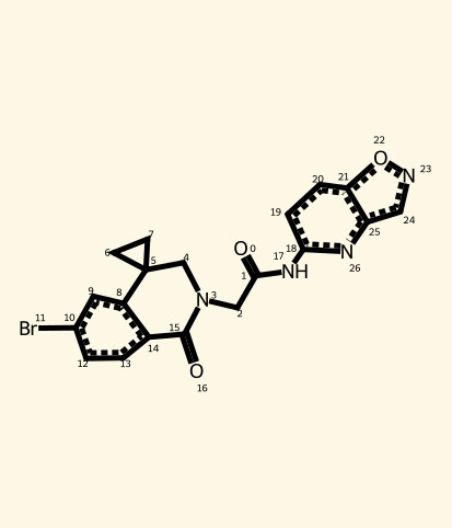 O=C(CN1CC2(CC2)c2cc(Br)ccc2C1=O)Nc1ccc2oncc2n1